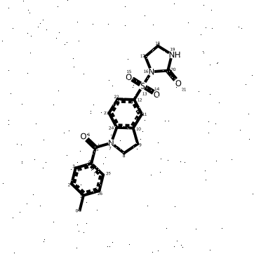 Cc1ccc(C(=O)N2CCc3cc(S(=O)(=O)N4CCNC4=O)ccc32)cc1